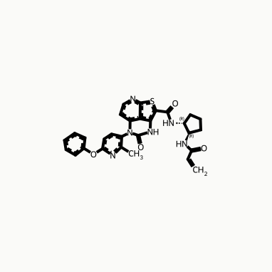 C=CC(=O)N[C@@H]1CCC[C@H]1NC(=O)c1sc2nccc3c2c1NC(=O)N3c1ccc(Oc2ccccc2)nc1C